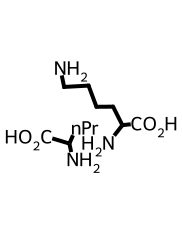 CCCC(N)C(=O)O.NCCCCC(N)C(=O)O